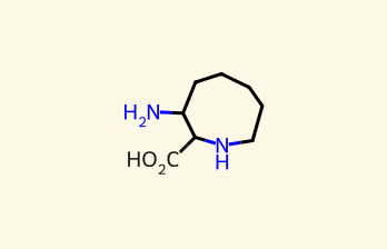 NC1CCCCCNC1C(=O)O